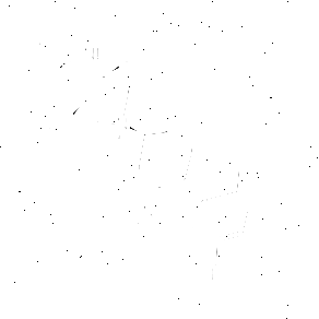 NC1C[C@@H](N2C[C@@H]3OC(=O)N[C@@H]3C2)CC[C@@H]1C1CC(F)=C(F)C=C1F